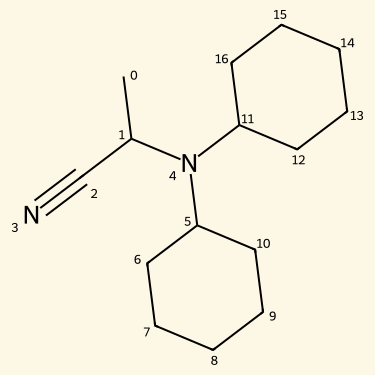 CC(C#N)N(C1CCCCC1)C1CCCCC1